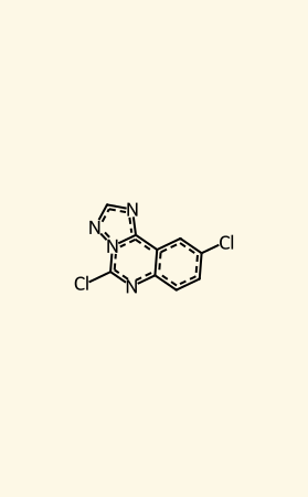 Clc1ccc2nc(Cl)n3ncnc3c2c1